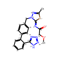 CCOCC(=O)N=c1sc(CC)nn1Cc1ccc(-c2ccccc2-c2nnn[nH]2)cc1